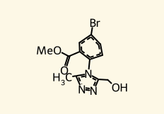 COC(=O)c1cc(Br)ccc1-n1c(C)nnc1CO